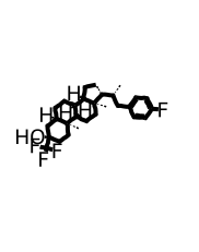 C[C@H](Cc1ccc(F)cc1)[C@H]1CC[C@H]2[C@@H]3CC[C@@H]4C[C@@](O)(C(F)(F)F)CC[C@]4(C)[C@H]3CC[C@]12C